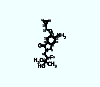 CC(C)(O)C(F)CN1Cc2cc(N)c(OCC3CC3)cc2C1=O